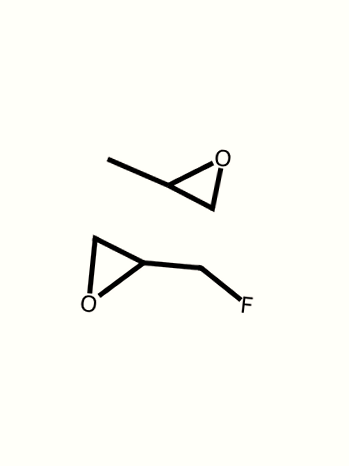 CC1CO1.FCC1CO1